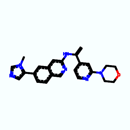 C=C(Nc1cc2cc(-c3cncn3C)ccc2cn1)c1ccnc(N2CCOCC2)c1